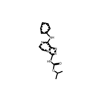 CC(C)OC(=O)Nc1nnc2c(Nc3ccccc3)nccn12